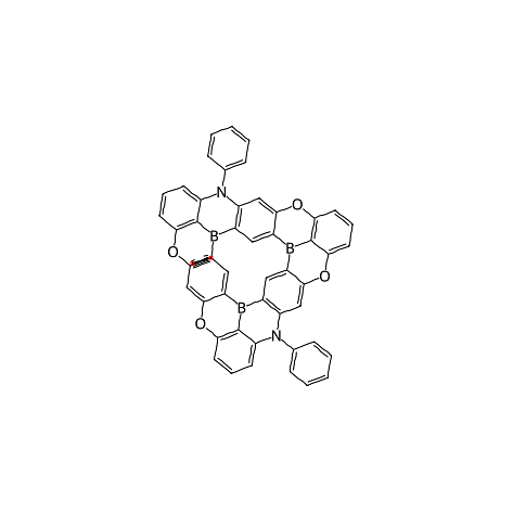 c1ccc(N2c3cc4c(cc3B3c5ccccc5Oc5cccc2c53)B2c3cc5c(cc3Oc3cccc(c32)O4)N(c2ccccc2)c2cccc3c2B5c2ccccc2O3)cc1